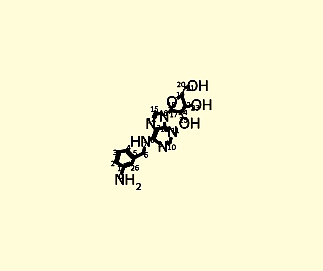 Nc1cccc(CNc2ncnc3c2ncn3C2O[C@H](CO)[C@@H](O)[C@@H]2O)c1